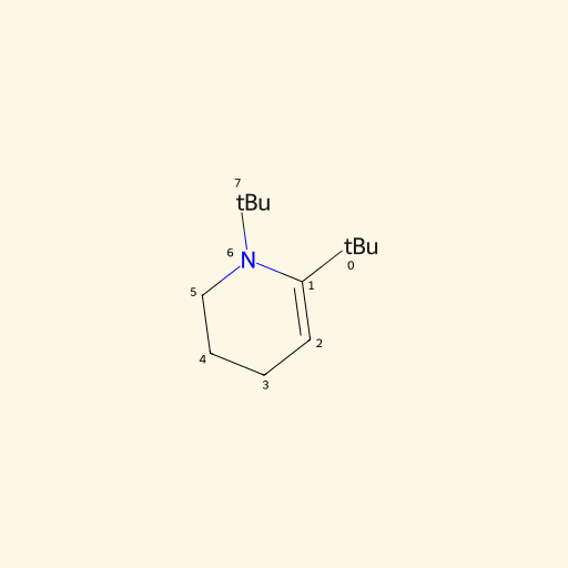 CC(C)(C)C1=CCCCN1C(C)(C)C